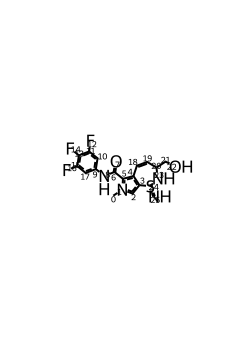 Cn1cc2c(c1C(=O)Nc1cc(F)c(F)c(F)c1)C=CC(CO)NS2=N